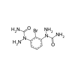 NC(=O)N(N)c1cccc(N(N)C(N)=O)c1Br